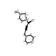 CC(C)(C)N1CCN(C(=O)C#CCN2CCOCC2)CC1